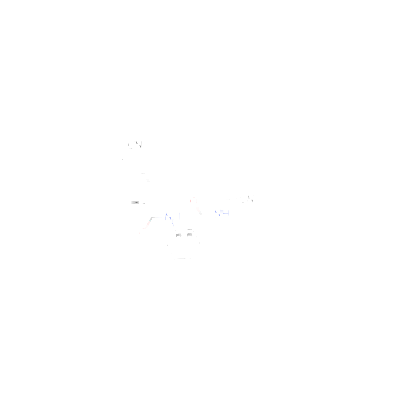 N#CCNC(=O)[C@@H]1CCCC[C@H]1NC(=O)c1ccc(CC#N)cc1